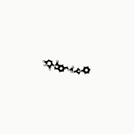 O=C1CCC(N2Cc3ccc(COC(=O)NC4CN(c5ccccc5)C4)cc3C2=O)C(=O)N1